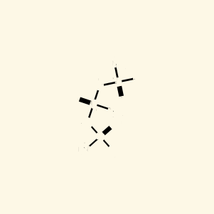 NP(=O)(O)OP(N)(=O)OP(N)(=O)O